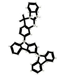 CC1(C)c2ccc(-n3c4ccccc4c4cc(-n5c6ccccc6c6ccccc65)ccc43)cc2Oc2nc3ccccc3n21